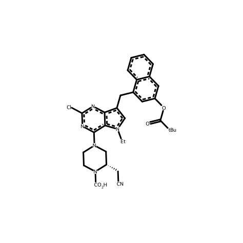 CCn1cc(Cc2cc(OC(=O)C(C)(C)C)cc3ccccc23)c2nc(Cl)nc(N3CCN(C(=O)O)[C@@H](CC#N)C3)c21